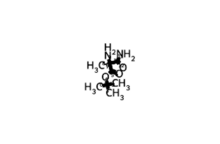 CC(C)(C)OC(=O)[C@@](C)(N)C(N)=O